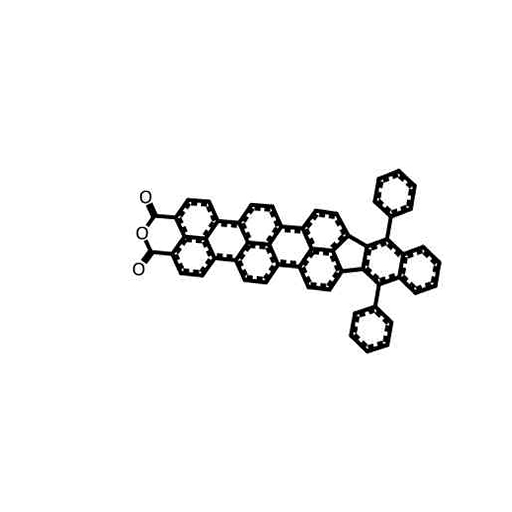 O=C1OC(=O)c2ccc3c4ccc5c6ccc7c8c(ccc(c9ccc(c%10ccc1c2c%103)c4c95)c86)-c1c-7c(-c2ccccc2)c2ccccc2c1-c1ccccc1